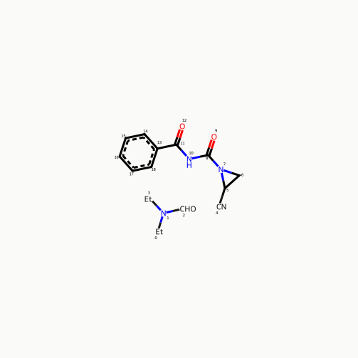 CCN(C=O)CC.N#CC1CN1C(=O)NC(=O)c1ccccc1